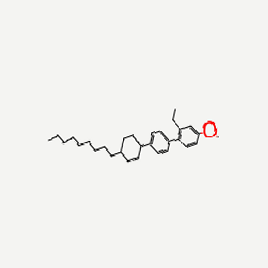 CCCCCCCCCC1CCC(c2ccc(-c3ccc(OC)cc3CC)cc2)CC1